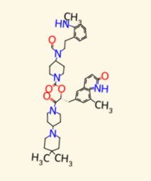 CNc1ccccc1CCN(C=O)C1CCN(C(=O)O[C@H](Cc2cc(C)c3[nH]c(=O)ccc3c2)C(=O)N2CCC(N3CCC(C)(C)CC3)CC2)CC1